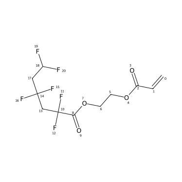 C=CC(=O)OCCOC(=O)C(F)(F)CC(F)(F)CC(F)F